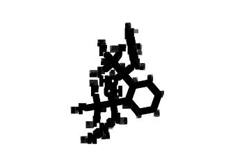 [N-]=[N+]=NC(O)(C1CCCCC1C(O)(N=[N+]=[N-])C(F)(F)F)C(F)(F)F